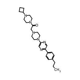 CCCc1ccc(-c2cnc(N3CCN(CC(=O)N4CCN(C5CCC5)CC4)CC3)cn2)cc1